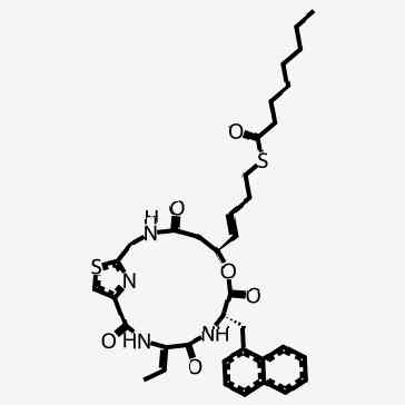 C/C=C1\NC(=O)c2csc(n2)CNC(=O)C[C@@H](/C=C/CCSC(=O)CCCCCCC)OC(=O)[C@H](Cc2cccc3ccccc23)NC1=O